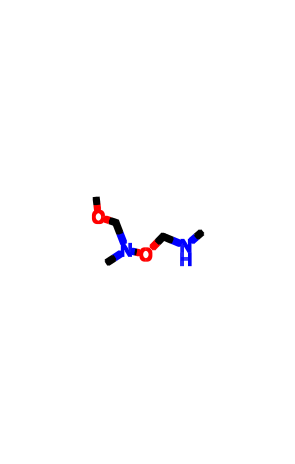 CNCON(C)COC